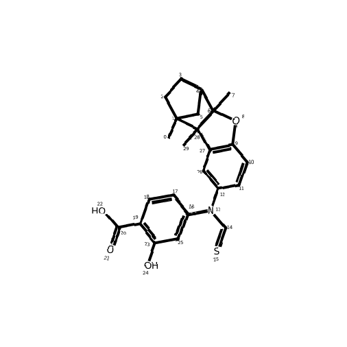 CC12CCC(C1)C1(C)Oc3ccc(N(C=S)c4ccc(C(=O)O)c(O)c4)cc3C21C